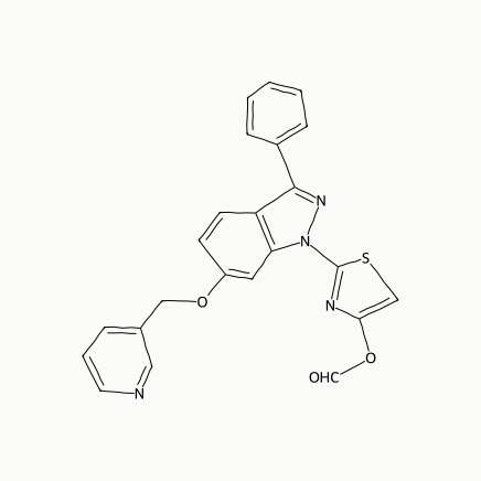 O=COc1csc(-n2nc(-c3ccccc3)c3ccc(OCc4cccnc4)cc32)n1